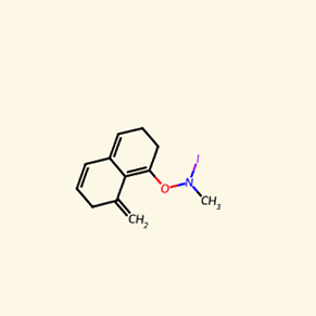 C=C1CC=CC2=CCCC(ON(C)I)=C12